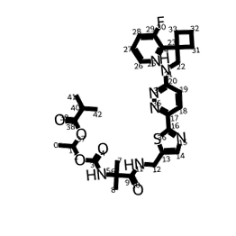 CC(OC(=O)NC(C)(C)C(=O)NCc1cnc(-c2ccc(NCC3(c4ncccc4F)CCC3)nn2)s1)OC(=O)C(C)C